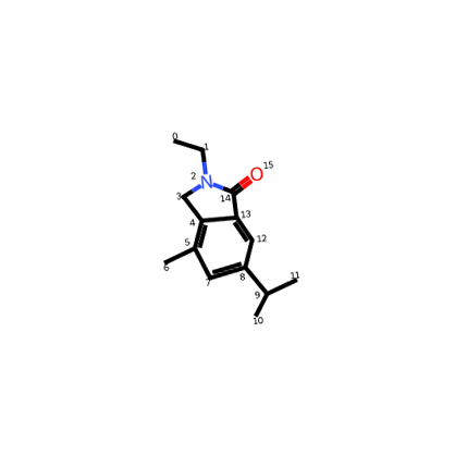 CCN1Cc2c(C)cc(C(C)C)cc2C1=O